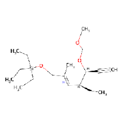 C#C[C@H](OCOC)[C@H](/C=C(\C)CO[Si](CC)(CC)CC)CC